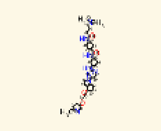 Cc1ccc(OCCOc2cccc3c2ccn3-c2ccnc(Nc3cccc(NC(=O)c4ccc(NC(=O)/C=C/CN(C)C)cc4)c3)n2)cn1